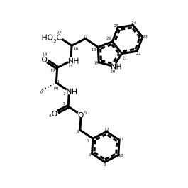 C[C@@H](NC(=O)OCc1ccccc1)C(=O)NC(Cc1c[nH]c2ccccc12)C(=O)O